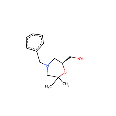 CC1(C)CN(Cc2ccccc2)C[C@@H](CO)O1